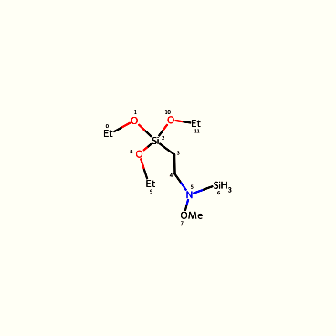 CCO[Si](CCN([SiH3])OC)(OCC)OCC